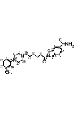 NC(=O)c1ccc2cn(C(=O)CCCCCN3CCN(c4cccc(C(F)(F)F)c4)CC3)cc2c1